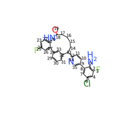 Nc1c(F)cc(Cl)cc1-c1ccc(C2CCCCC(=O)Nc3ccc(F)cc3-c3cccc2c3)nc1